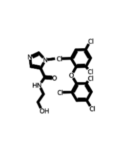 Clc1cc(Cl)c(Oc2c(Cl)cc(Cl)cc2Cl)c(Cl)c1.Cn1cncc1C(=O)NCCO